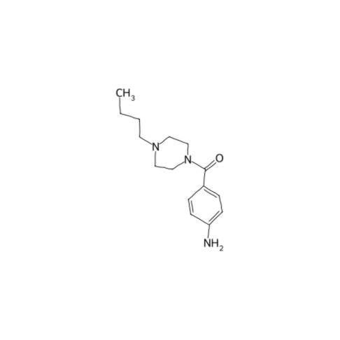 CCCCN1CCN(C(=O)c2ccc(N)cc2)CC1